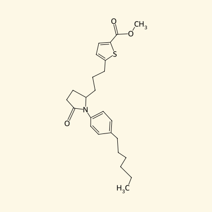 CCCCCCc1ccc(N2C(=O)CCC2CCCc2ccc(C(=O)OC)s2)cc1